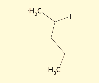 [CH2]C(I)CCC